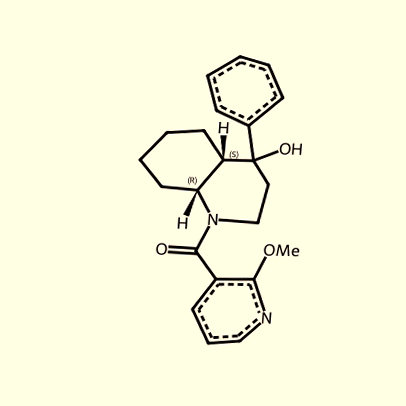 COc1ncccc1C(=O)N1CCC(O)(c2ccccc2)[C@H]2CCCC[C@H]21